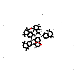 Cc1cc2c3c(c1)N(c1ccc4c(c1)C(C)(C)CCC4(C)C)c1oc4c(c1B3c1cc3c(cc1N2c1cc2c(cc1-c1c(F)cccc1F)C(C)(C)CCC2(C)C)C(C)(C)CCC3(C)C)C(C)(C)CCC4(C)C